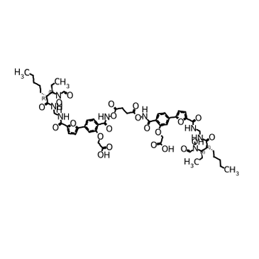 CCCCC[C@@H](C(=O)NCNC(=O)c1ccc(-c2ccc(C(=O)NOC(=O)CCC(=O)ONC(=O)c3ccc(-c4ccc(C(=O)NCNC(=O)[C@H](CCCCC)[C@@H](CC)N(O)C=O)o4)cc3OCC(=O)O)c(OCC(=O)O)c2)o1)[C@@H](CC)N(O)C=O